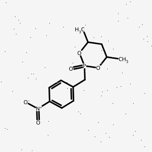 CC1CC(C)OP(=O)(Cc2ccc([N+](=O)[O-])cc2)O1